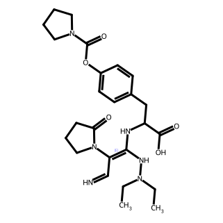 CCN(CC)N/C(NC(Cc1ccc(OC(=O)N2CCCC2)cc1)C(=O)O)=C(\C=N)N1CCCC1=O